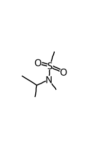 CC(C)N(C)S(C)(=O)=O